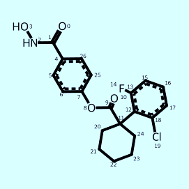 O=C(NO)c1ccc(OC(=O)C2(c3c(F)cccc3Cl)CCCCC2)cc1